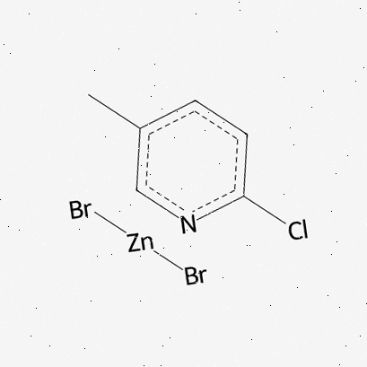 Cc1ccc(Cl)nc1.[Br][Zn][Br]